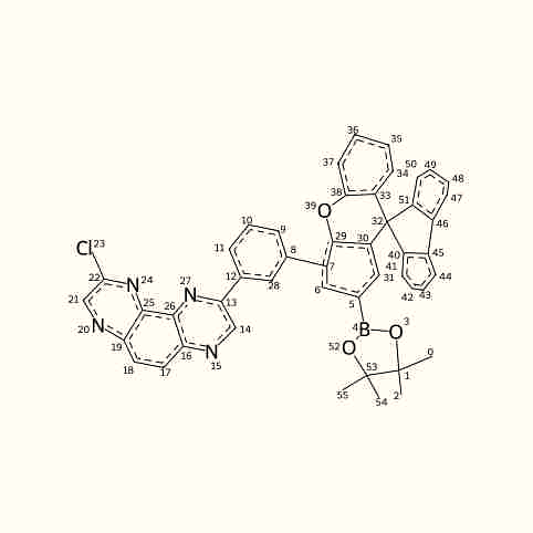 CC1(C)OB(c2cc(-c3cccc(-c4cnc5ccc6ncc(Cl)nc6c5n4)c3)c3c(c2)C2(c4ccccc4O3)c3ccccc3-c3ccccc32)OC1(C)C